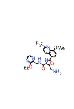 CCOc1nccnc1CNC(=O)c1nc(-c2ccc(OC)c3nc(C(F)(F)F)ccc23)oc1CN